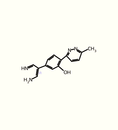 Cc1ccc(-c2ccc(/C(C=N)=C/N)cc2O)nn1